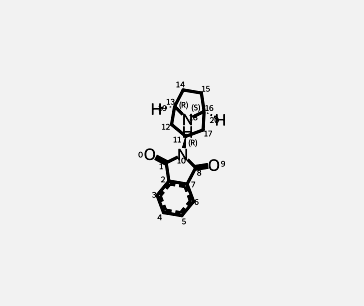 O=C1c2ccccc2C(=O)N1[C@H]1C[C@H]2CC[C@@H](C1)N2